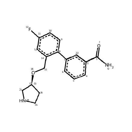 NC(=O)c1cccc(-c2ccc(F)cc2CO[C@H]2CCNC2)c1